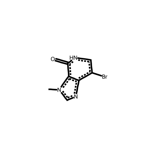 Cn1cnc2c(Br)c[nH]c(=O)c21